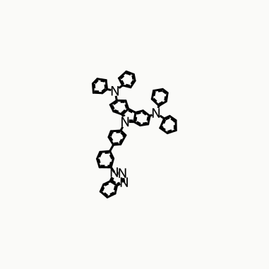 c1ccc(N(c2ccccc2)c2ccc3c(c2)c2cc(N(c4ccccc4)c4ccccc4)ccc2n3-c2ccc(-c3cccc(-n4nnc5ccccc54)c3)cc2)cc1